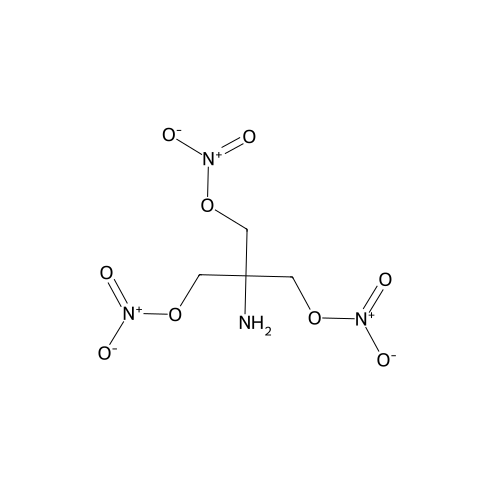 NC(CO[N+](=O)[O-])(CO[N+](=O)[O-])CO[N+](=O)[O-]